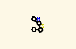 Cn1c2ccccc2c2cc3c(cc21)sc1cccc(C2CCCCC2)c13